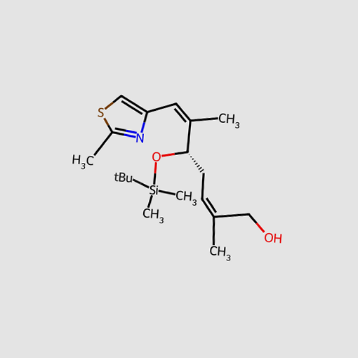 CC(=CC[C@H](O[Si](C)(C)C(C)(C)C)C(C)=Cc1csc(C)n1)CO